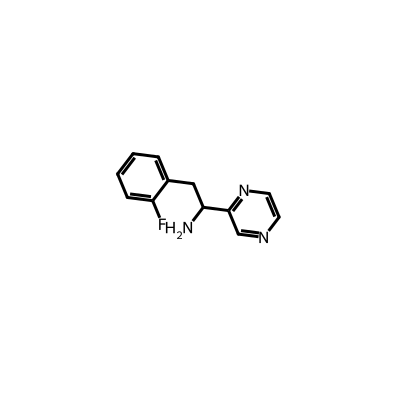 NC(Cc1ccccc1F)c1cnccn1